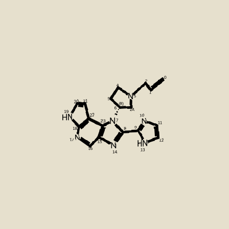 C=CCN1CC[C@@H](n2c(-c3ncc[nH]3)nc3cnc4[nH]ccc4c32)C1